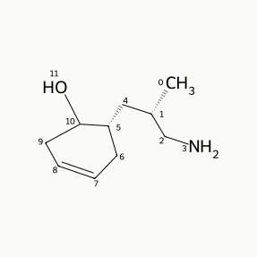 C[C@H](CN)C[C@@H]1CC=CCC1O